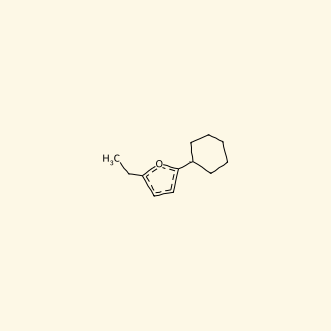 CCc1ccc([C]2CCCCC2)o1